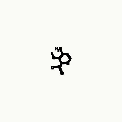 COc1c(N)ccnc1[N+](=O)[O-]